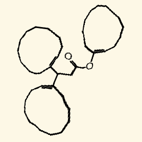 O=C(CC(C1=CCCCCCCCCCC1)C1=CCCCCCCCCCC1)OC1=CCCCCCCCCCC1